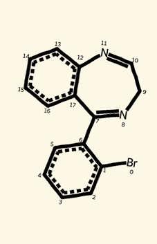 Brc1ccccc1C1=NCC=Nc2ccccc21